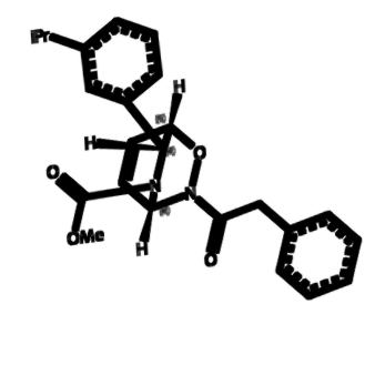 COC(=O)N1[C@H](c2cccc(C(C)C)c2)[C@@H]2C=C[C@H]1N(C(=O)Cc1ccccc1)O2